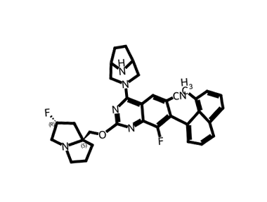 Cc1cccc2cccc(-c3c(C#N)cc4c(N5CC6CCC(C5)N6)nc(OC[C@@]56CCCN5C[C@H](F)C6)nc4c3F)c12